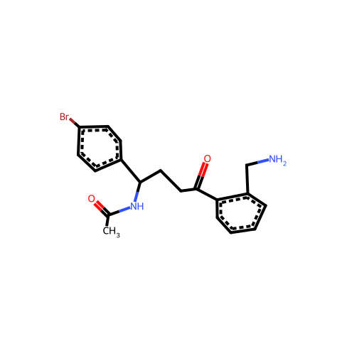 CC(=O)NC(CCC(=O)c1ccccc1CN)c1ccc(Br)cc1